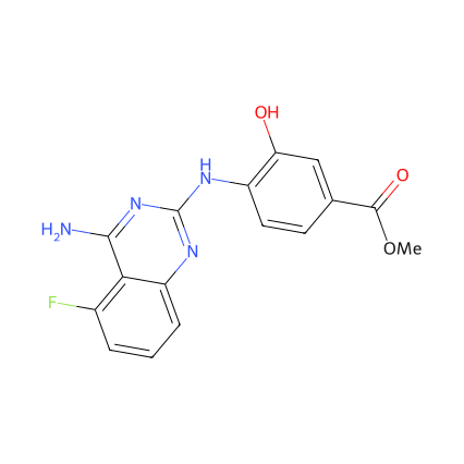 COC(=O)c1ccc(Nc2nc(N)c3c(F)cccc3n2)c(O)c1